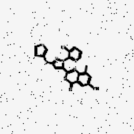 Cc1cc(C#N)cc2c(=O)oc(-c3cc(Oc4ccsc4)nn3-c3ncccc3Cl)nc12